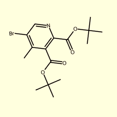 Cc1c(Br)cnc(C(=O)OC(C)(C)C)c1C(=O)OC(C)(C)C